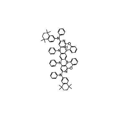 CC1(C)CCC(C)(C)c2cc(N(c3ccccc3)c3cc4c5c(n3)Oc3ccccc3B5c3cc5c(cc3N4c3ccccc3)N(c3ccccc3)c3cc(N(c4ccccc4)c4ccc6c(c4)C(C)(C)CCC6(C)C)nc4c3[SH]5c3ccccc3O4)ccc21